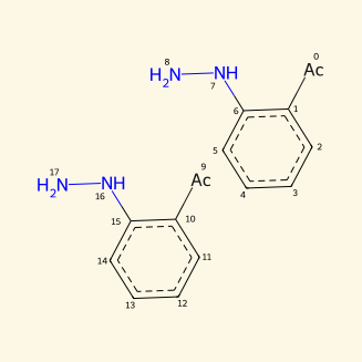 CC(=O)c1ccccc1NN.CC(=O)c1ccccc1NN